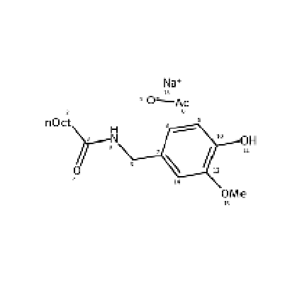 CC(=O)[O-].CCCCCCCCC(=O)NCc1ccc(O)c(OC)c1.[Na+]